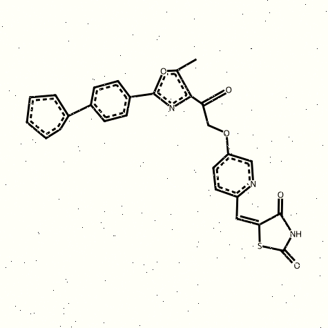 Cc1oc(-c2ccc(-c3ccccc3)cc2)nc1C(=O)COc1ccc(/C=C2/SC(=O)NC2=O)nc1